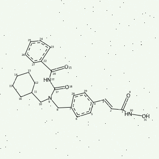 O=C(C=Cc1ccc(CN(CC2CCCCC2)C(=O)NC(=O)c2ccccc2)cc1)NO